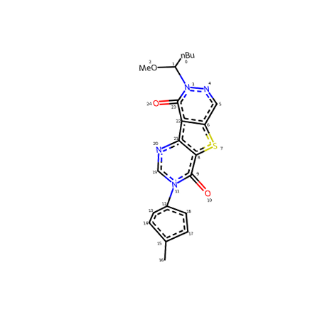 CCCCC(OC)n1ncc2sc3c(=O)n(-c4ccc(C)cc4)cnc3c2c1=O